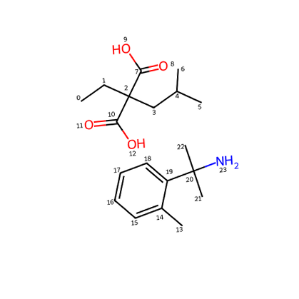 CCC(CC(C)C)(C(=O)O)C(=O)O.Cc1ccccc1C(C)(C)N